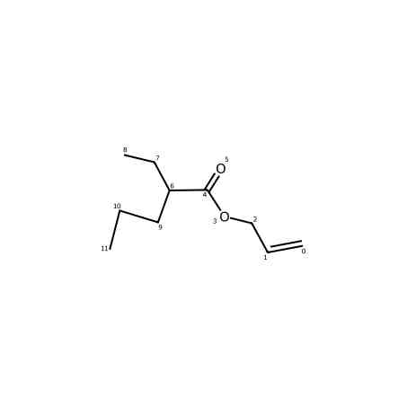 C=CCOC(=O)C(CC)CCC